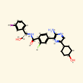 Nc1ncc(C2CCC(O)CC2)nc1-c1ccc(C(=O)N[C@H](CO)c2cccc(I)c2)c(F)c1